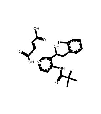 CC(C)(C)C(=O)Nc1ccncc1C(O)Cc1ccccc1F.O=C(O)C=CC(=O)O